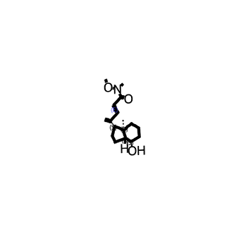 C=C(/C=C/C(=O)N(C)OC)[C@H]1CC[C@H]2[C@@H](O)CCC[C@]12C